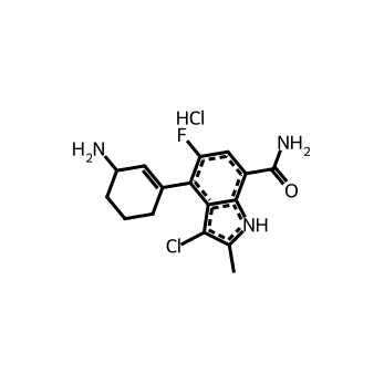 Cc1[nH]c2c(C(N)=O)cc(F)c(C3=CC(N)CCC3)c2c1Cl.Cl